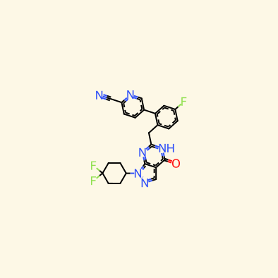 N#Cc1ccc(-c2cc(F)ccc2Cc2nc3c(cnn3C3CCC(F)(F)CC3)c(=O)[nH]2)cn1